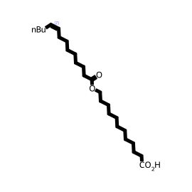 CCCC/C=C\CCCCCCCC(=O)OCCCCCCCCCCCC(=O)O